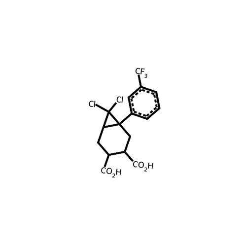 O=C(O)C1CC2C(Cl)(Cl)C2(c2cccc(C(F)(F)F)c2)CC1C(=O)O